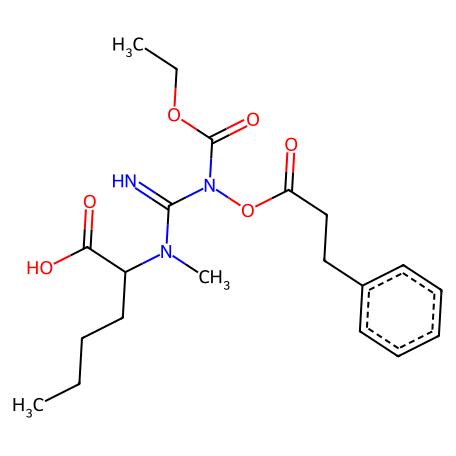 CCCCC(C(=O)O)N(C)C(=N)N(OC(=O)CCc1ccccc1)C(=O)OCC